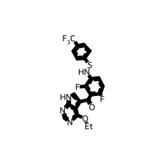 CCOc1ncnc2[nH]cc(C(=O)c3c(F)ccc(NSc4ccc(C(F)(F)F)cc4)c3F)c12